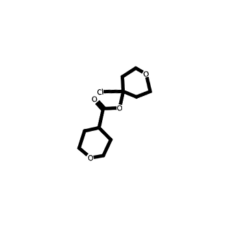 O=C(OC1(Cl)CCOCC1)C1CCOCC1